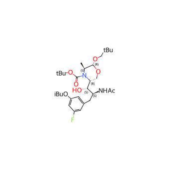 CC(=O)N[C@@H](Cc1cc(F)cc(OCC(C)C)c1)[C@H](O)[C@H]1CO[C@@H](OCC(C)(C)C)[C@H](C)N1C(=O)OC(C)(C)C